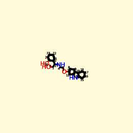 OCC(NCCOc1ccc2c(c1)[nH]c1ccccc12)c1ccccc1O